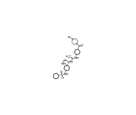 C=C(/N=C(\C=C/N)c1ccc(NS(=O)(=O)c2ccccc2)cc1)Nc1ccc(C(=O)N2CCN(C(C)=O)CC2)cc1